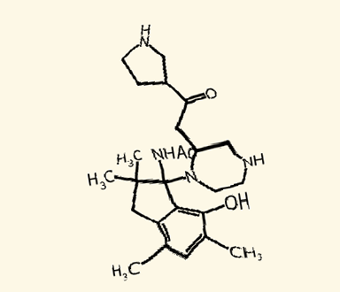 CC(=O)NC1(N2CCNCC2CC(=O)C2CCNC2)c2c(O)c(C)cc(C)c2CC1(C)C